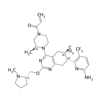 C=CC(=O)N1CCN(c2nc(OC[C@@H]3CCCN3C)nc3c2C[C@@H](C)[C@H](c2nc(N)ccc2C(F)(F)F)C3)[C@@H](C)C1